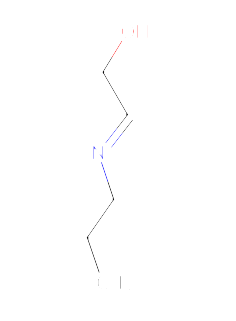 CCCN=CCO